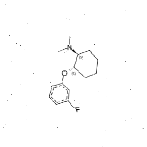 CN(C)[C@H]1CCCC[C@@H]1Oc1cccc(F)c1